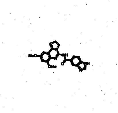 COc1cc(OC)c2c(c1)C1=NCCN1C(NC(=O)c1ccc3[nH]cnc3c1)=N2